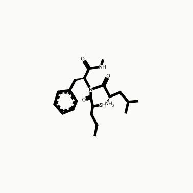 CCCC(S)C(=O)N(C(=O)[C@@H](N)CC(C)C)[C@@H](Cc1ccccc1)C(=O)NC